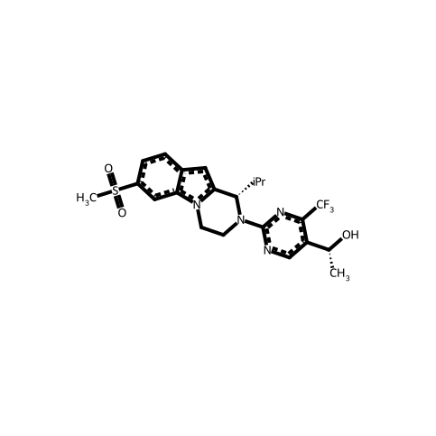 CC(C)[C@H]1c2cc3ccc(S(C)(=O)=O)cc3n2CCN1c1ncc([C@@H](C)O)c(C(F)(F)F)n1